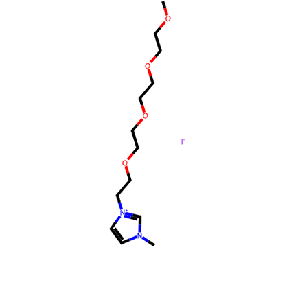 COCCOCCOCCOCC[n+]1ccn(C)c1.[I-]